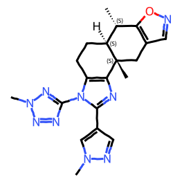 C[C@@H]1c2oncc2C[C@]2(C)c3nc(-c4cnn(C)c4)n(-c4nnn(C)n4)c3CC[C@@H]12